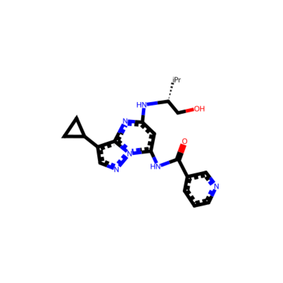 CC(C)[C@H](CO)Nc1cc(NC(=O)c2cccnc2)n2ncc(C3CC3)c2n1